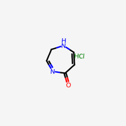 Cl.O=C1C=CNCC=N1